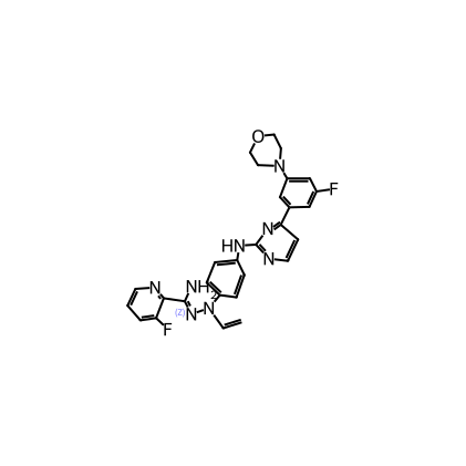 C=CN(/N=C(\N)c1ncccc1F)c1ccc(Nc2nccc(-c3cc(F)cc(N4CCOCC4)c3)n2)cc1